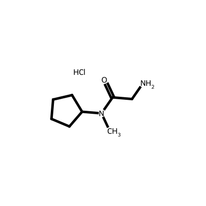 CN(C(=O)CN)C1CCCC1.Cl